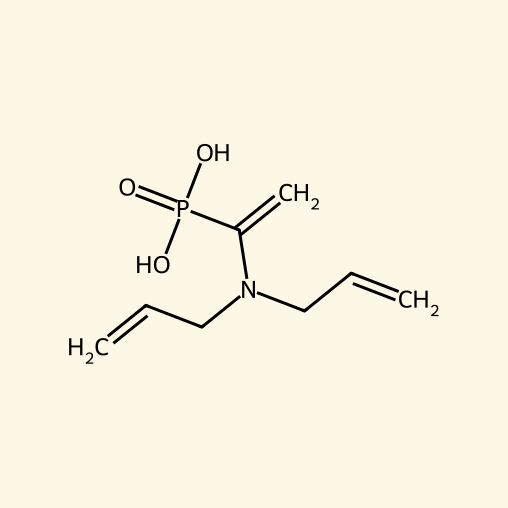 C=CCN(CC=C)C(=C)P(=O)(O)O